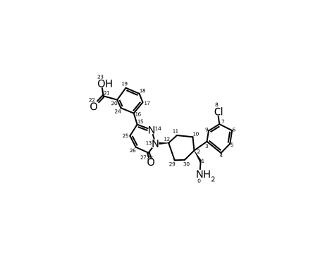 NC[C@]1(c2cccc(Cl)c2)CC[C@H](n2nc(-c3cccc(C(=O)O)c3)ccc2=O)CC1